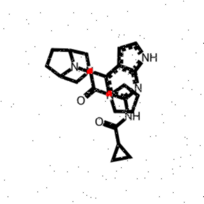 O=C(Nc1cc(N2CC3CCC(C2)N3CC(=O)N2CCCC2)c2cc[nH]c2n1)C1CC1